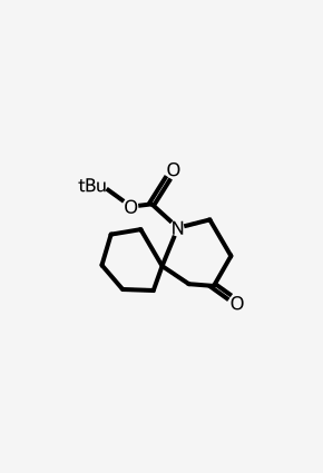 CC(C)(C)OC(=O)N1CCC(=O)CC12CCCCC2